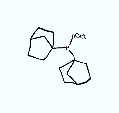 CCCCCCCCP(C12CCC(CC1)C2)C12CCC(CC1)C2